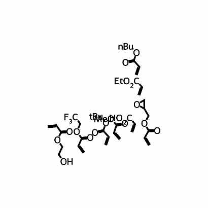 C=CC(=O)O.C=CC(=O)OC.C=CC(=O)OC(C)(C)C.C=CC(=O)OCC.C=CC(=O)OCC(F)(F)F.C=CC(=O)OCC1CO1.C=CC(=O)OCCCC.C=CC(=O)OCCO